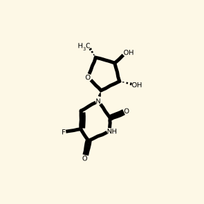 C[C@H]1O[C@@H](n2cc(F)c(=O)[nH]c2=O)[C@@H](O)C1O